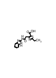 CCc1nc(CC(=O)Nc2nc3ccccc3[nH]2)c(C(=O)O)s1